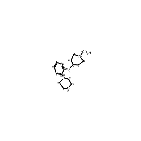 O=C(O)N1CCC(Oc2ncccc2N2CCOCC2)CC1